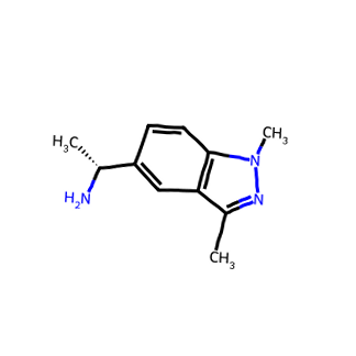 Cc1nn(C)c2ccc([C@@H](C)N)cc12